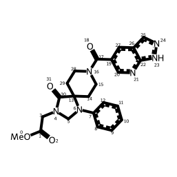 COC(=O)CN1CN(c2ccccc2)C2(CCN(C(=O)c3cnc4[nH]ncc4c3)CC2)C1=O